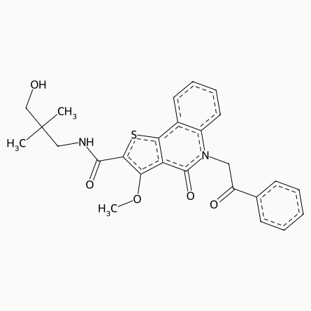 COc1c(C(=O)NCC(C)(C)CO)sc2c1c(=O)n(CC(=O)c1ccccc1)c1ccccc21